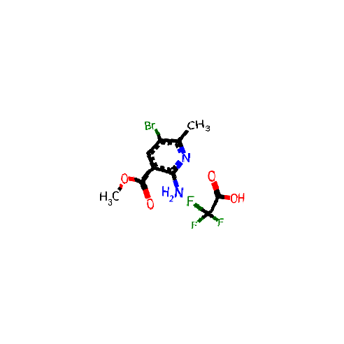 COC(=O)c1cc(Br)c(C)nc1N.O=C(O)C(F)(F)F